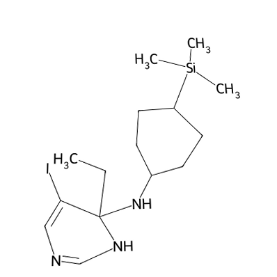 CCC1(NC2CCC([Si](C)(C)C)CC2)NC=NC=C1I